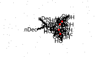 CCCCCCCCCCCCC/C=C/[C@@H](O)[C@H](CO[C@@H]1OC(CO)[C@@H](O[C@@H]2OC(CO)[C@H](O[C@@H]3OC(CO)[C@H](O)[C@H](O)C3NC(C)=O)[C@H](O[C@H]3OC(CO)[C@H](O)[C@H](O[C@@H]4OC(CO)[C@@H](O[C@@H]5OC(CO)[C@H](O)[C@H](O)C5O)[C@H](O[C@H]5OC(C)[C@@H](O)C(O)[C@@H]5O)C4NC(C)=O)C3O)C2O)[C@H](O)C1O)NC(=O)CCCCCCCCCCCCCCC